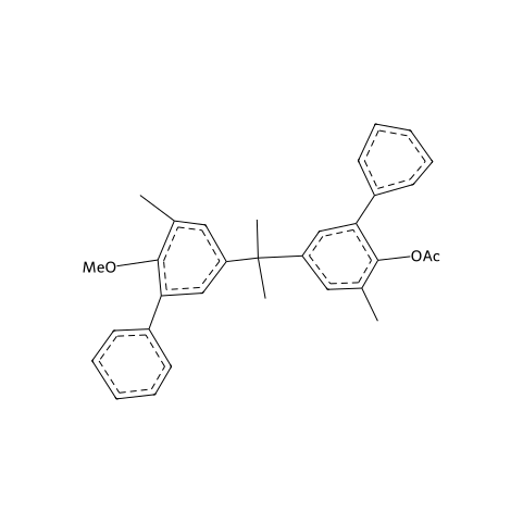 COc1c(C)cc(C(C)(C)c2cc(C)c(OC(C)=O)c(-c3ccccc3)c2)cc1-c1ccccc1